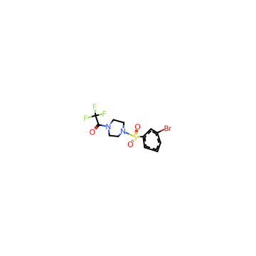 O=C(N1CCN(S(=O)(=O)c2cccc(Br)c2)CC1)C(F)(F)F